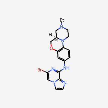 CCN1CCN2c3ccc(Nc4nc(Br)cn5ccnc45)cc3OC[C@H]2C1